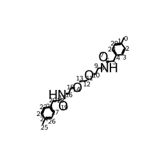 Cc1ccc(CC(=O)NCCOCCOCCNC(=O)Cc2ccc(C)cc2)cc1